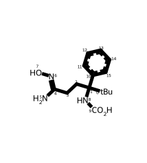 CC(C)(C)C(CCC(N)=NO)(NC(=O)O)c1ccccc1